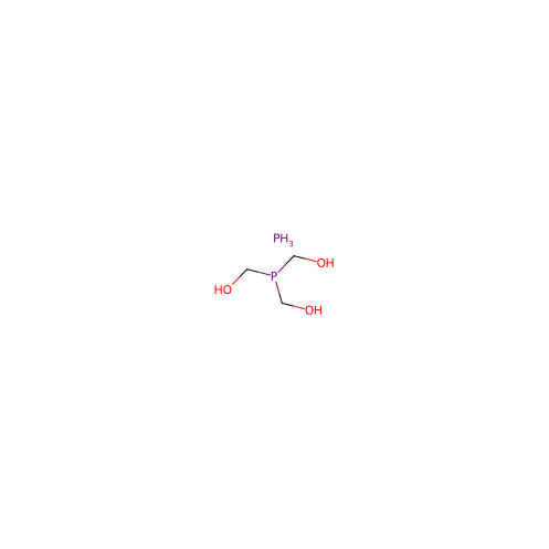 OCP(CO)CO.P